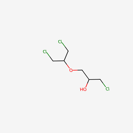 OC(CCl)COC(CCl)CCl